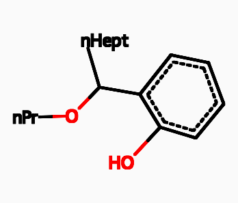 CCCCCCCC(OCCC)c1ccccc1O